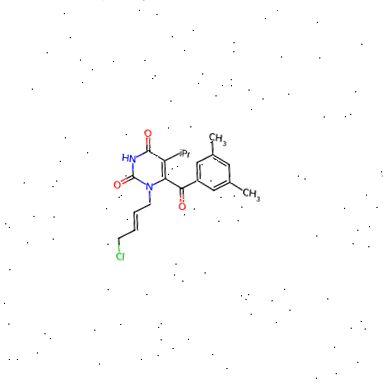 Cc1cc(C)cc(C(=O)c2c(C(C)C)c(=O)[nH]c(=O)n2CC=CCCl)c1